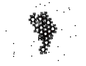 Cc1ccc(-c2c(C)cccc2C)cc1N(c1cc(-c2ccccc2)ccc1-c1ccccc1)c1cc(C(C)C)c2ccc3c(Nc4cc(-c5ccccc5)ccc4[C@@H](C)c4ccccc4)cc(C(C)C)c4ccc1c2c34